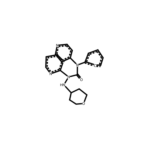 O=C(N(NC1CCOCC1)c1ncccn1)N(c1ccccc1)c1ccncc1